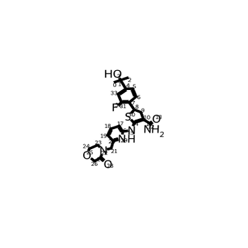 CC(C)(O)c1ccc(C2CC(C(N)=O)=C(Nc3cccc(CN4CCOCC4=O)n3)S2)c(F)c1